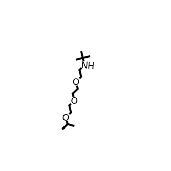 CC(C)OCCOCCOCCNC(C)(C)C